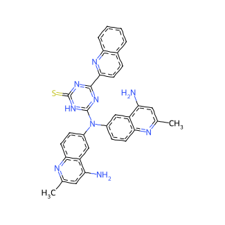 Cc1cc(N)c2cc(N(c3ccc4nc(C)cc(N)c4c3)c3nc(-c4ccc5ccccc5n4)nc(=S)[nH]3)ccc2n1